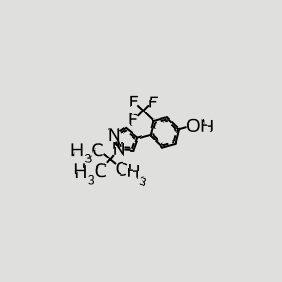 CC(C)(C)n1cc(-c2ccc(O)cc2C(F)(F)F)cn1